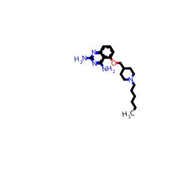 CCCCCCN1CCC(COc2cccc3nc(N)nc(N)c23)CC1